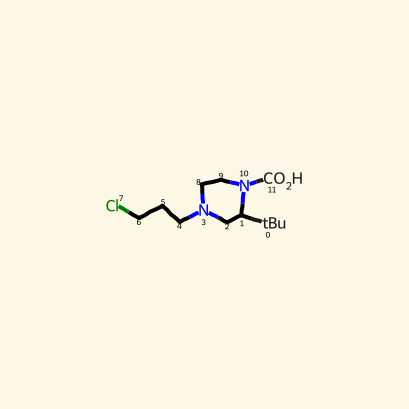 CC(C)(C)C1CN(CCCCl)CCN1C(=O)O